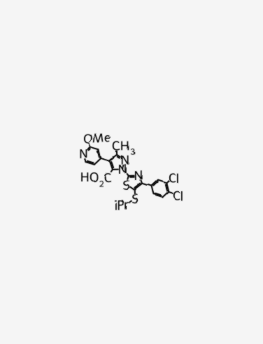 COc1cc(-c2c(C)nn(-c3nc(-c4ccc(Cl)c(Cl)c4)c(SC(C)C)s3)c2C(=O)O)ccn1